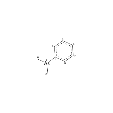 C[As](C)c1c[c]ccc1